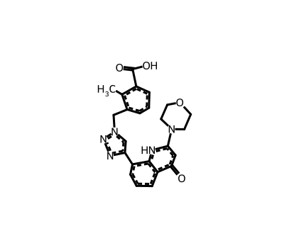 Cc1c(Cn2cc(-c3cccc4c(=O)cc(N5CCOCC5)[nH]c34)nn2)cccc1C(=O)O